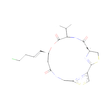 CC(C)C1NC(=O)[C@]2(C)CSC(=N2)c2csc(n2)CNC(=O)C[C@@H](/C=C/CCCl)OC1=O